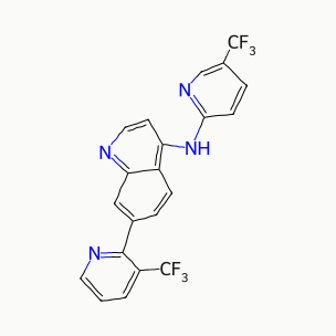 FC(F)(F)c1ccc(Nc2ccnc3cc(-c4ncccc4C(F)(F)F)ccc23)nc1